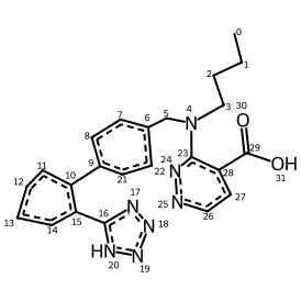 CCCCN(Cc1ccc(-c2ccccc2-c2nnn[nH]2)cc1)c1nnccc1C(=O)O